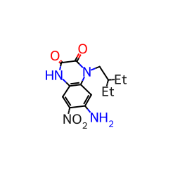 CCC(CC)Cn1c(=O)c(=O)[nH]c2cc([N+](=O)[O-])c(N)cc21